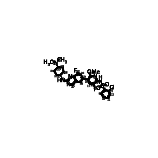 COc1nc(NS(=O)(=O)c2ccccc2Cl)c(F)cc1-c1cc(F)c2nc(N[C@H]3CC[C@H](N(C)C)CC3)ncc2c1